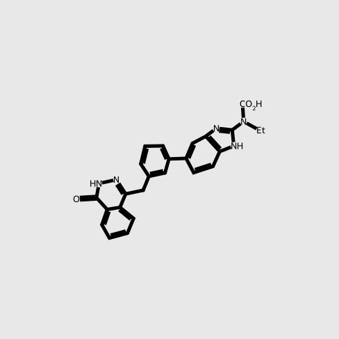 CCN(C(=O)O)c1nc2cc(-c3cccc(Cc4n[nH]c(=O)c5ccccc45)c3)ccc2[nH]1